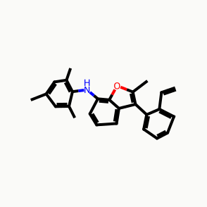 C=Cc1ccccc1-c1c(C)oc2c(Nc3c(C)cc(C)cc3C)cccc12